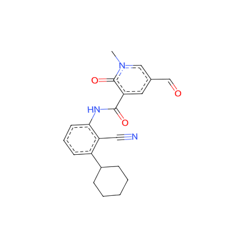 Cn1cc(C=O)cc(C(=O)Nc2cccc(C3CCCCC3)c2C#N)c1=O